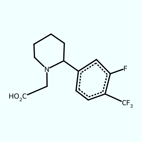 O=C(O)CN1CCCCC1c1ccc(C(F)(F)F)c(F)c1